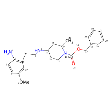 COc1ccc(N)c(CCNC2CCN(C(=O)OCc3ccccc3)C(C)C2)c1